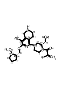 C=C(F)C(=O)N1CCN(c2nc(OC[C@@H]3CCCN3C)c(C#N)c3c2CCNC3)C[C@@H]1CC#N